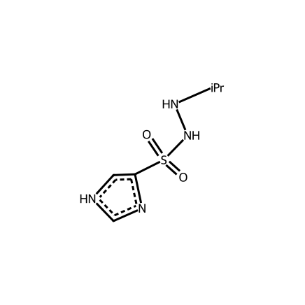 CC(C)NNS(=O)(=O)c1c[nH]cn1